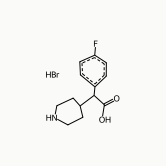 Br.O=C(O)C(c1ccc(F)cc1)C1CCNCC1